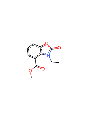 CCn1c(=O)oc2cccc(C(=O)OC)c21